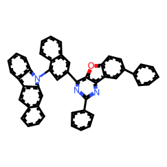 c1ccc(-c2ccc3oc4c(-c5cc(-n6c7ccccc7c7cc8ccccc8cc76)c6ccccc6c5)nc(-c5ccccc5)nc4c3c2)cc1